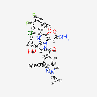 CCOc1c(CC(N)=O)cc([C@@](O)(CNC(=O)c2cc(OC)c3nn(C4CC4)cc3c2)C2CC2)nc1-c1ccc(F)c(F)c1Cl